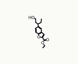 CCOC(=O)c1cc2cc(C(CC)CCO)ccc2o1